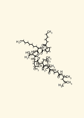 CCCCCCCCC(NC(=O)[C@@H]1CCCN1C(=O)CCCCC)C(=O)NC(C(=O)NC(CC(C)C)C(=O)NC(CC(C)C)C(=O)NC(C)(C)C(=O)NCCC(=O)NC(C)CN(C)C)C(C)O